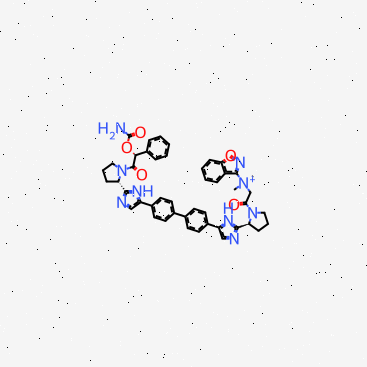 C[N+](C)(CC(=O)N1CCC[C@H]1c1ncc(-c2ccc(-c3ccc(-c4cnc([C@@H]5CCCN5C(=O)[C@H](OC(N)=O)c5ccccc5)[nH]4)cc3)cc2)[nH]1)c1noc2ccccc12